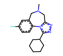 CN1Cc2cc(F)ccc2-n2c(nnc2C2CCCCC2)C1